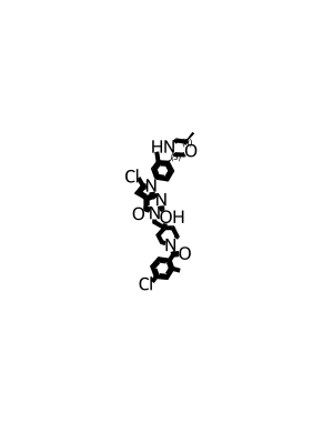 Cc1cc(Cl)ccc1C(=O)N1CCC(O)(Cn2cnc3c(cc(Cl)n3-c3ccc([C@H]4CO[C@H](C)CN4)c(C)c3)c2=O)CC1